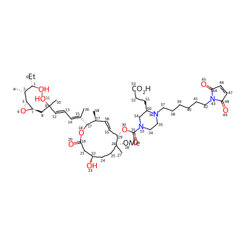 CC[C@H](O)[C@@H](C)[C@H]1O[C@@H]1CC(C)(O)/C=C/C=C(\C)[C@H]1OC(=O)C[C@H](O)CC[C@@](C)(OC)[C@@H](OC(=O)N2CCN(CCCCCCN3C(=O)C=CC3=O)[C@H](CCC(=O)O)C2)/C=C/[C@@H]1C